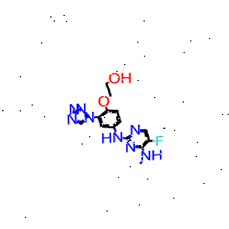 CNc1nc(Nc2ccc(OCCO)c(-n3cnnn3)c2)ncc1F